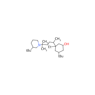 CCC1(C(C)CCC(C)(C)N2CCCC(C(C)(C)C)C2)CC(O)CC(C(C)(C)C)C1